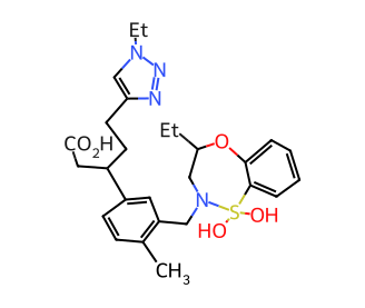 CCC1CN(Cc2cc(C(CCc3cn(CC)nn3)CC(=O)O)ccc2C)S(O)(O)c2ccccc2O1